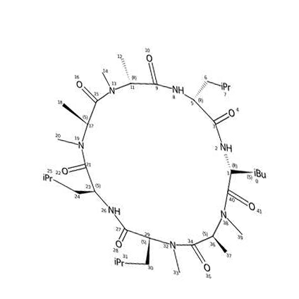 CC[C@H](C)[C@H]1NC(=O)[C@@H](CC(C)C)NC(=O)[C@@H](C)N(C)C(=O)[C@H](C)N(C)C(=O)[C@H](CC(C)C)NC(=O)[C@H](CC(C)C)N(C)C(=O)[C@H](C)N(C)C1=O